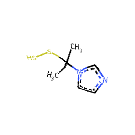 CC(C)(SS)n1ccnc1